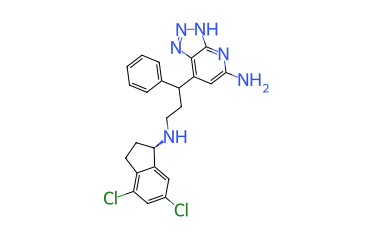 Nc1cc(C(CCN[C@@H]2CCc3c(Cl)cc(Cl)cc32)c2ccccc2)c2nn[nH]c2n1